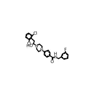 O=C(NCc1cccc(F)c1)c1ccc(N2CCN(C(O)Cc3c(Cl)cccc3Cl)CC2)cc1